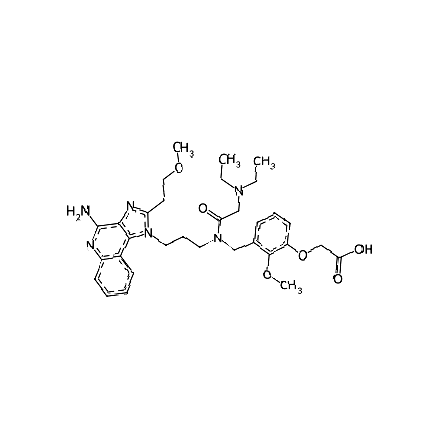 CCN(CC)CC(=O)N(CCCn1c(CCOC)nc2c(N)nc3ccccc3c21)Cc1cccc(OCC(=O)O)c1OC